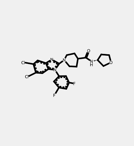 O=C(N[C@@H]1CCOC1)C1CCN(c2nc3cc(Cl)c(Cl)cc3n2-c2cc(F)cc(F)c2)CC1